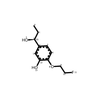 CC[C@H](O)c1ccc(OCCF)c(O)c1